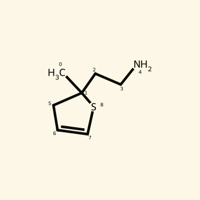 CC1(CCN)CC=CS1